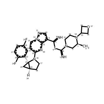 C[C@H]1CN(C(=N)SC(=N)c2cnn3ccc(N4CC[C@H]5C[C@]54c4cc(F)ccc4F)nc23)CCN1C1COC1